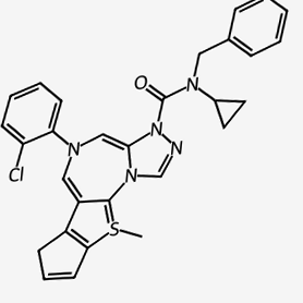 CS1=C2C(=CN(c3ccccc3Cl)C=C3N2C=NN3C(=O)N(Cc2ccccc2)C2CC2)C2=C1C=CC2